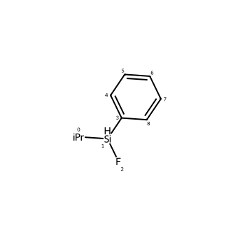 CC(C)[SiH](F)c1ccccc1